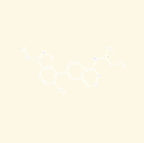 CC[C@@H](C)Nc1nncc2cc(-c3c(C)ccc4c(NC)noc34)ccc12